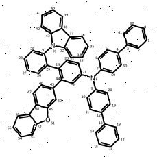 c1ccc(-c2ccc(N(c3ccc(-c4ccccc4)cc3)c3ccc(-c4ccccc4-n4c5ccccc5c5ccccc54)c(-c4ccc5c(c4)oc4ccccc45)c3)cc2)cc1